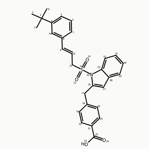 CC(C)(C)c1cccc(C=CCS(=O)(=O)n2c(Cc3ccc(C(=O)O)cc3)cc3ccccc32)c1